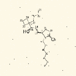 CCCCCCC[C@H]1C(=O)CC[C@@H]1C=CC(O)C1(CCCC)CCC1